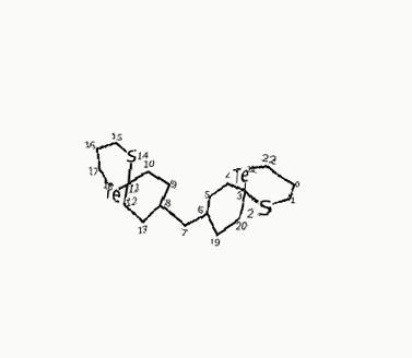 C1CSC2(CCC(CC3CCC4(CC3)SCCC[Te]4)CC2)[Te]C1